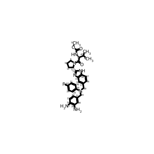 COC(=O)N[C@H](C(=O)N1CCC[C@H]1c1nc2cc(CN(Cc3ccc(N)c(N)c3)c3ccc(F)cc3)ccc2[nH]1)C(C)C